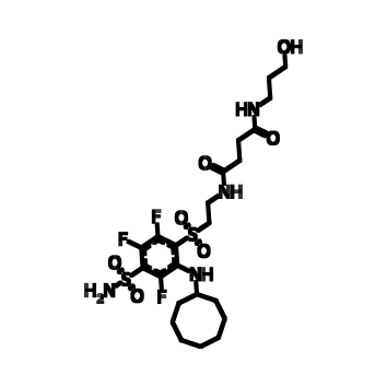 NS(=O)(=O)c1c(F)c(F)c(S(=O)(=O)CCNC(=O)CCC(=O)NCCCO)c(NC2CCCCCCC2)c1F